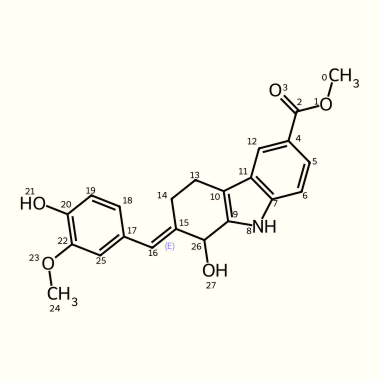 COC(=O)c1ccc2[nH]c3c(c2c1)CC/C(=C\c1ccc(O)c(OC)c1)C3O